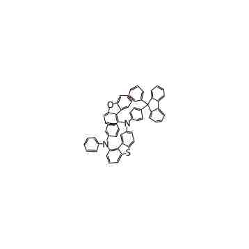 c1ccc(N(c2ccccc2)c2cccc3sc4ccc(N(c5ccc(C6(c7ccccc7)c7ccccc7-c7ccccc76)cc5)c5cccc6oc7ccccc7c56)cc4c23)cc1